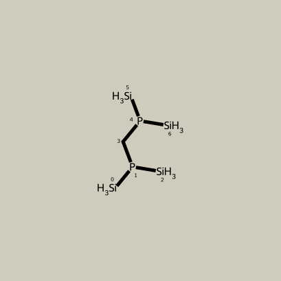 [SiH3]P([SiH3])CP([SiH3])[SiH3]